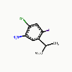 COC(C)c1cc(N)c(Br)cc1I